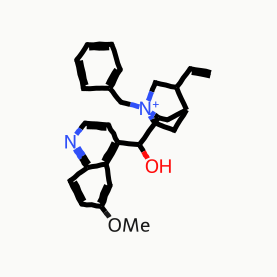 C=CC1C[N+]2(Cc3ccccc3)CCC1CC2C(O)c1ccnc2ccc(OC)cc12